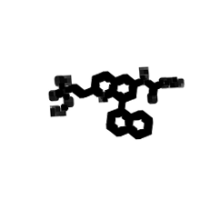 CCC(C)OP(=O)(O)C=Cc1ccc2cc(NC(=O)OC)cc(-c3cccc4ccccc34)c2n1